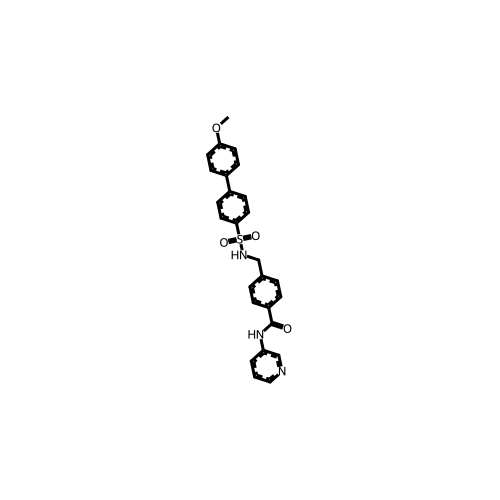 COc1ccc(-c2ccc(S(=O)(=O)NCc3ccc(C(=O)Nc4cccnc4)cc3)cc2)cc1